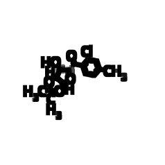 Cc1ccc(C(=O)[C@@H]2O[C@H]3OC(C)(C)O[C@H]3[C@@H]2O)c(Cl)c1